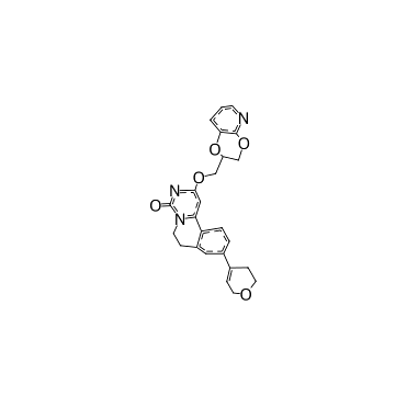 O=c1nc(OCC2COc3ncccc3O2)cc2n1CCc1cc(C3=CCOCC3)ccc1-2